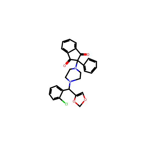 O=C1c2ccccc2C(=O)C1(c1ccccc1)N1CCN(C(C2=COCO2)c2ccccc2Cl)CC1